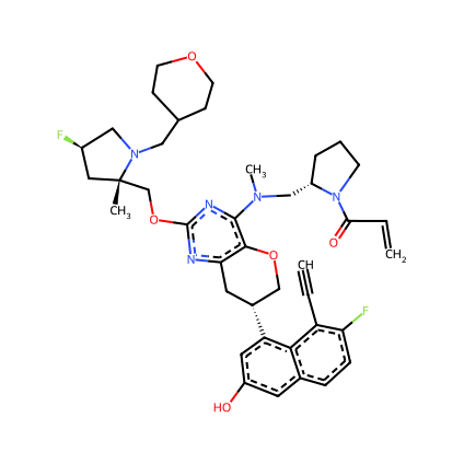 C#Cc1c(F)ccc2cc(O)cc([C@H]3COc4c(nc(OC[C@]5(C)C[C@@H](F)CN5CC5CCOCC5)nc4N(C)C[C@@H]4CCCN4C(=O)C=C)C3)c12